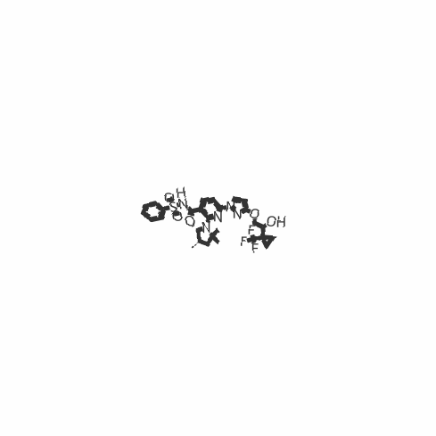 C[C@@H]1CN(c2nc(-n3ccc(OCC(O)C4(C(F)(F)F)CC4)n3)ccc2C(=O)NS(=O)(=O)c2ccccc2)C(C)(C)C1